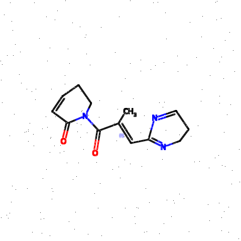 C/C(=C\C1=NCCC=N1)C(=O)N1CCC=CC1=O